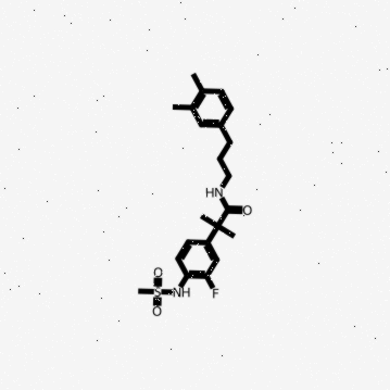 Cc1ccc(CCCNC(=O)C(C)(C)c2ccc(NS(C)(=O)=O)c(F)c2)cc1C